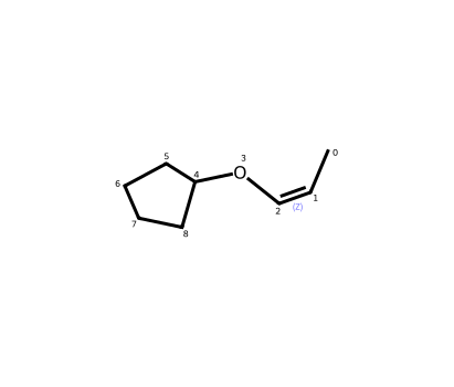 C/C=C\OC1CCCC1